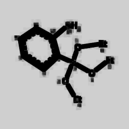 CCO[Si](OCC)(OCC)c1ccccc1[SiH3]